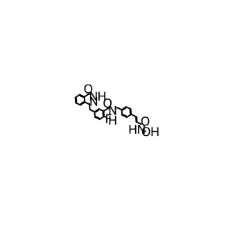 O=C(C=Cc1ccc(CNC(=O)c2cc(Cc3n[nH]c(=O)c4ccccc34)ccc2F)cc1)NO